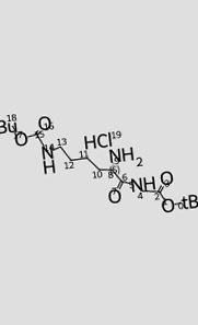 CC(C)(C)OC(=O)CNC(=O)[C@@H](N)CCCCNC(=O)OC(C)(C)C.Cl